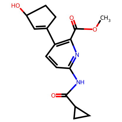 COC(=O)c1nc(NC(=O)C2CC2)ccc1C1=CC(O)CC1